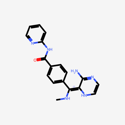 CN/C(=C1\NC=CN=C1N)c1ccc(C(=O)Nc2ccccn2)cc1